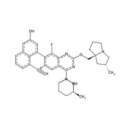 C#Cc1cccc2cc(O)cc(-c3c(F)cc4c(N5C[C@@]6(C)CCC5CN6)nc(OC[C@@]56CCCN5C[C@H](C)C6)nc4c3F)c12